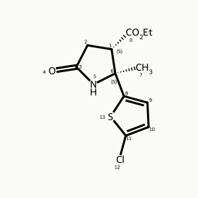 CCOC(=O)[C@H]1CC(=O)N[C@]1(C)c1ccc(Cl)s1